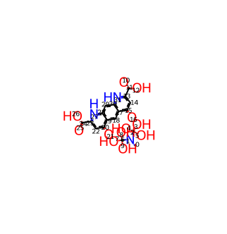 CN(C(O)(O)O)C(O)(O)O.O=C(O)c1cc(=O)c2cc3c(=O)cc(C(=O)O)[nH]c3cc2[nH]1